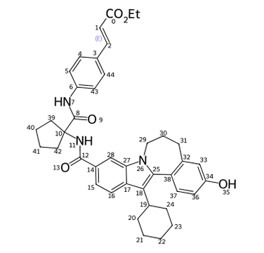 CCOC(=O)/C=C/c1ccc(NC(=O)C2(NC(=O)c3ccc4c(C5CCCCC5)c5n(c4c3)CCCc3cc(O)ccc3-5)CCCC2)cc1